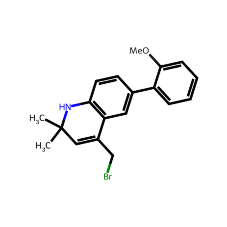 COc1ccccc1-c1ccc2c(c1)C(CBr)=CC(C)(C)N2